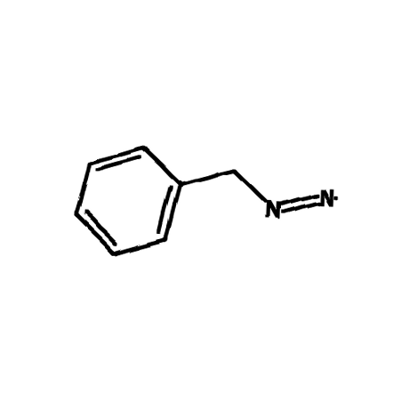 [N]=NCc1ccccc1